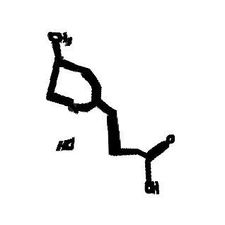 Cl.Cn1cnc(/C=C/C(=O)O)c1